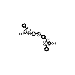 O=C(Nc1ccc(-c2cnc(-c3ccc(NC(=O)[C@@H]4C[C@@H](O)CN4C(=O)c4ccccc4)cc3)o2)cc1)[C@@H]1C[C@@H](O)CN1C(=O)c1ccccc1